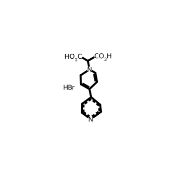 Br.O=C(O)C(C(=O)O)N1C=CC(c2ccncc2)=CC1